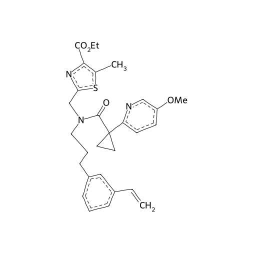 C=Cc1cccc(CCCN(Cc2nc(C(=O)OCC)c(C)s2)C(=O)C2(c3ccc(OC)cn3)CC2)c1